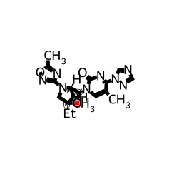 CC[C@@]12CN(c3noc(C)n3)[C@@H]([C@H](n3cc(C)c(-n4cncn4)nc3=O)O1)[C@@H]2C